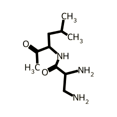 CC(=O)C(CC(C)C)NC(=O)C(N)CN